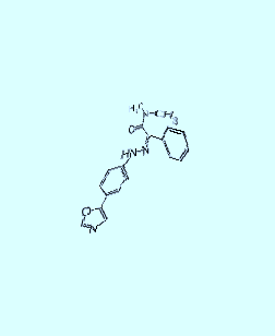 CN(C)C(=O)C(=NNc1ccc(-c2cnco2)cc1)c1ccccc1